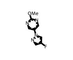 COc1ncc(-n2cc(F)cn2)cn1